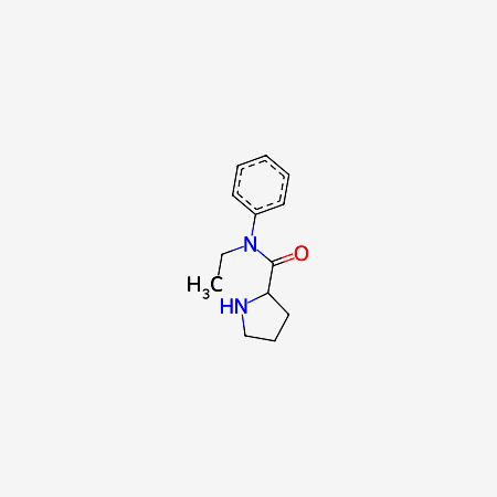 CCN(C(=O)C1CCCN1)c1ccccc1